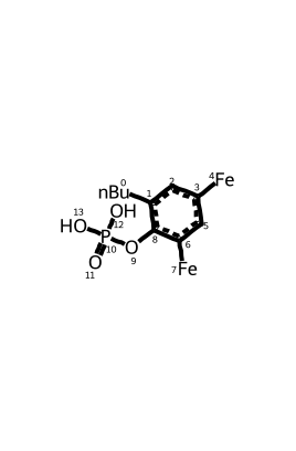 CCCCc1c[c]([Fe])c[c]([Fe])c1OP(=O)(O)O